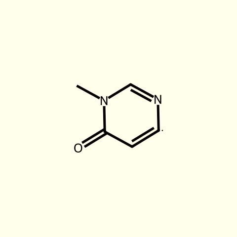 Cn1cn[c]cc1=O